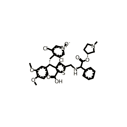 COc1ccc([C@H](Cc2c(Cl)c[n+]([O-])cc2Cl)c2cc(CNC(C(=O)O[C@@H]3CCN(C)C3)c3ccccc3)sc2C(=O)O)cc1OC